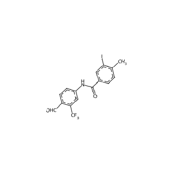 Cc1ccc(C(=O)Nc2ccc(C=O)c(C(F)(F)F)c2)cc1I